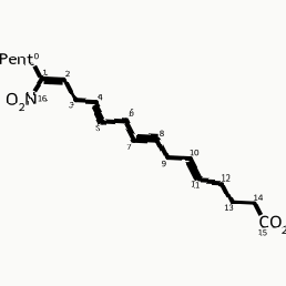 CCCCCC(=CCC=CCC=CCC=CCCCC(=O)O)[N+](=O)[O-]